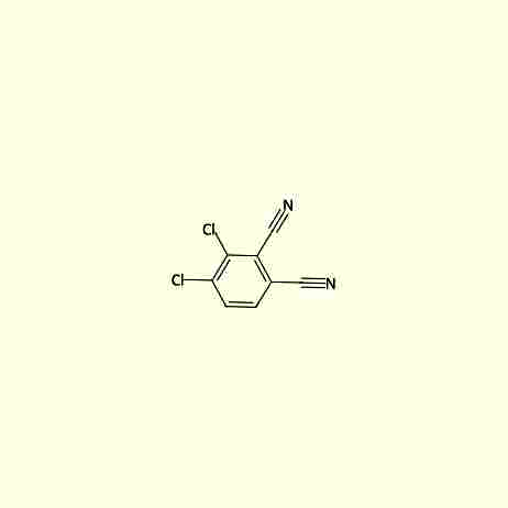 N#Cc1ccc(Cl)c(Cl)c1C#N